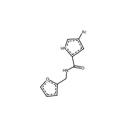 CC(=O)c1c[nH]c(C(=O)NCc2ccco2)c1